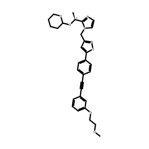 COCCOc1cccc(C#Cc2ccc(-c3cc(Cn4ccnc4[C@H](C)OC4CCCCO4)no3)cc2)c1